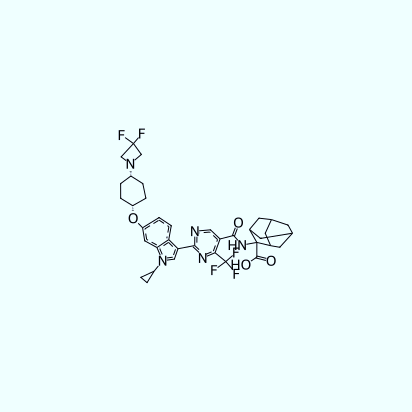 O=C(NC1(C(=O)O)C2CC3CC(C2)CC1C3)c1cnc(-c2cn(C3CC3)c3cc(O[C@H]4CC[C@@H](N5CC(F)(F)C5)CC4)ccc23)nc1C(F)(F)F